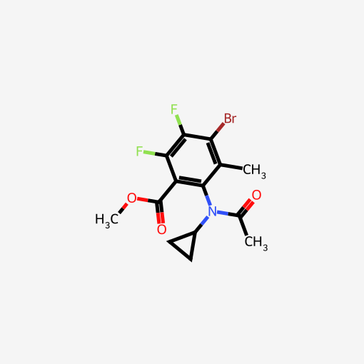 COC(=O)c1c(F)c(F)c(Br)c(C)c1N(C(C)=O)C1CC1